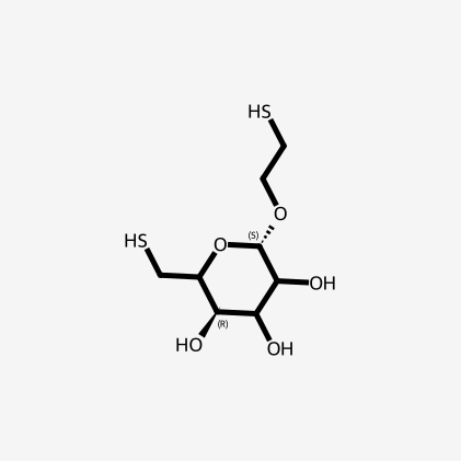 OC1C(O)[C@@H](O)C(CS)O[C@@H]1OCCS